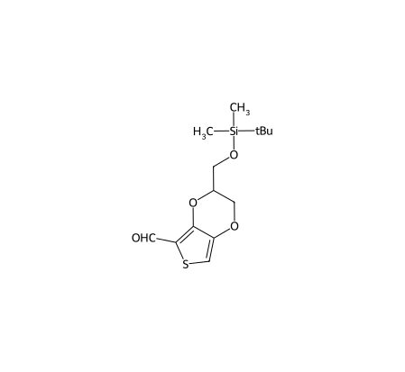 CC(C)(C)[Si](C)(C)OCC1COc2csc(C=O)c2O1